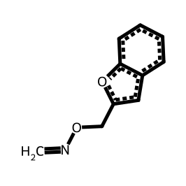 C=NOCc1cc2ccccc2o1